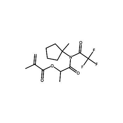 C=C(C)C(=O)OC(C)C(=O)N(C(=O)C(F)(F)F)C1(C)CCCC1